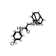 O=C(CNC12CC3CC(CC(C3)C1)C2)Nc1ccc(Cl)cc1